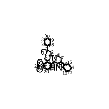 O=C(CC(=O)N1CCc2c([nH]c3ccccc23)[C@H]1c1ccc2c(c1)OCO2)c1ccccc1